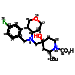 CC(C)(C)C1CC(O)(CN(Cc2ccc(F)cc2)C2CCOCC2)CCN1C(=O)O